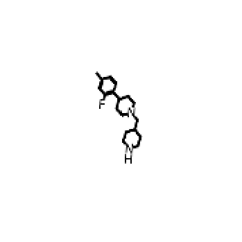 Cc1ccc(C2CCN(CC3CCNCC3)CC2)c(F)c1